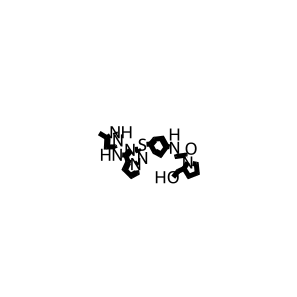 Cc1cc(Nc2nc(Sc3ccc(NCC(=O)N4CCCC4CO)cc3)nn3cccc23)n[nH]1